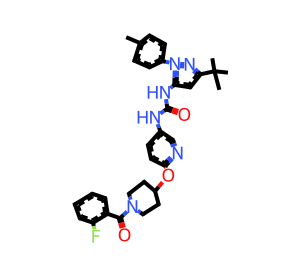 Cc1ccc(-n2nc(C(C)(C)C)cc2NC(=O)Nc2ccc(OC3CCN(C(=O)c4ccccc4F)CC3)nc2)cc1